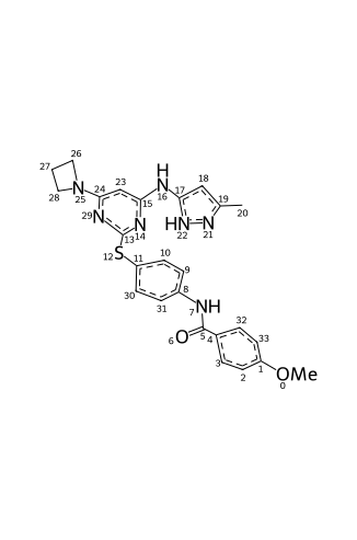 COc1ccc(C(=O)Nc2ccc(Sc3nc(Nc4cc(C)n[nH]4)cc(N4CCC4)n3)cc2)cc1